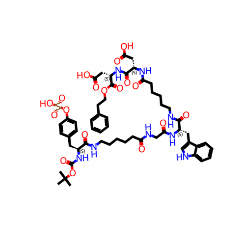 CC(C)(C)OC(=O)N[C@@H](Cc1ccc(OS(=O)(=O)O)cc1)C(=O)NCCCCCC(=O)NCC(=O)N[C@@H](Cc1c[nH]c2ccccc12)C(=O)NCCCCCC(=O)N[C@@H](CC(=O)O)C(=O)N[C@@H](CC(=O)O)C(=O)OCCc1ccccc1